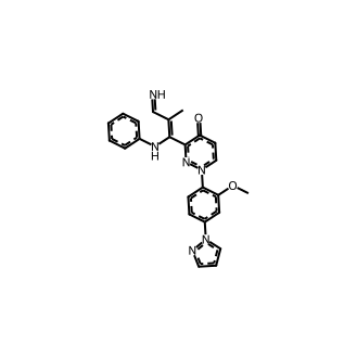 COc1cc(-n2cccn2)ccc1-n1ccc(=O)c(/C(Nc2ccccc2)=C(\C)C=N)n1